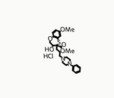 COC(=O)C1(CCCN2CCN(c3ccccc3)CC2)Sc2cc(OC)ccc2OCC1O.Cl